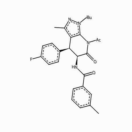 CCC(C)n1nc(C)c2c1N(C(C)=O)C(=O)[C@@H](NC(=O)c1cccc(C)c1)[C@H]2c1ccc(F)cc1